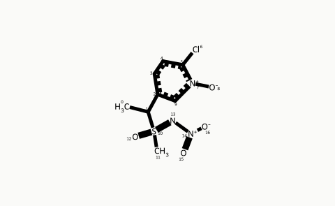 CC(c1ccc(Cl)[n+]([O-])c1)S(C)(=O)=N[N+](=O)[O-]